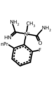 CCCc1cccc(F)c1[N+](C)(C(=N)N)C(N)=O